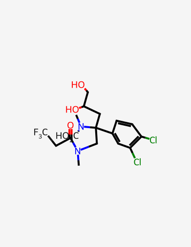 CN(CC(CC(O)CO)(c1ccc(Cl)c(Cl)c1)N(C)C(=O)O)C(=O)CC(F)(F)F